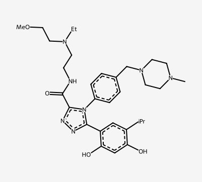 CCN(CCNC(=O)c1nnc(-c2cc(C(C)C)c(O)cc2O)n1-c1ccc(CN2CCN(C)CC2)cc1)CCOC